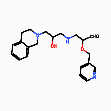 O=CC(CNCC(O)CN1CCc2ccccc2C1)OCc1cccnc1